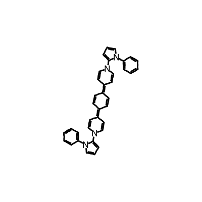 C1=CN(c2cccn2-c2ccccc2)C=CC1=c1ccc(=C2C=CN(c3cccn3-c3ccccc3)C=C2)cc1